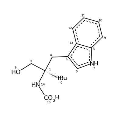 CC(C)(C)[C@](CO)(Cc1c[nH]c2ccccc12)NC(=O)O